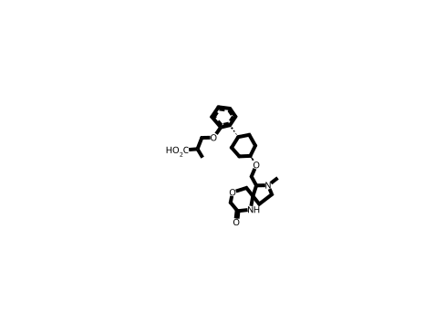 CC(COc1ccccc1[C@H]1CC[C@@H](OCC2N(C)CCC23COCC(=O)N3)CC1)C(=O)O